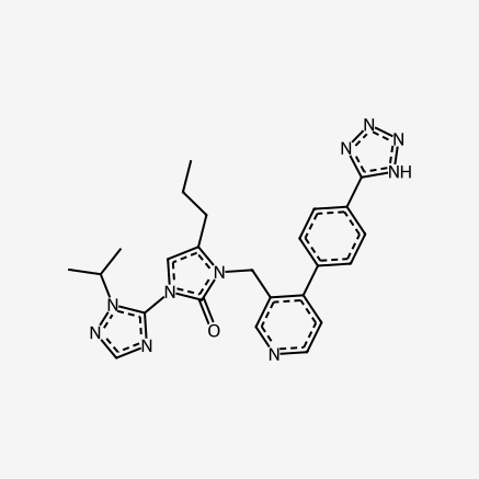 CCCc1cn(-c2ncnn2C(C)C)c(=O)n1Cc1cnccc1-c1ccc(-c2nnn[nH]2)cc1